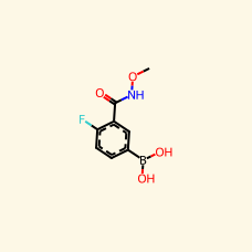 CONC(=O)c1cc(B(O)O)ccc1F